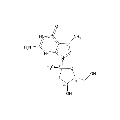 C[C@]1(n2cc(N)c3c(=O)[nH]c(N)nc32)C[C@H](O)[C@@H](CO)O1